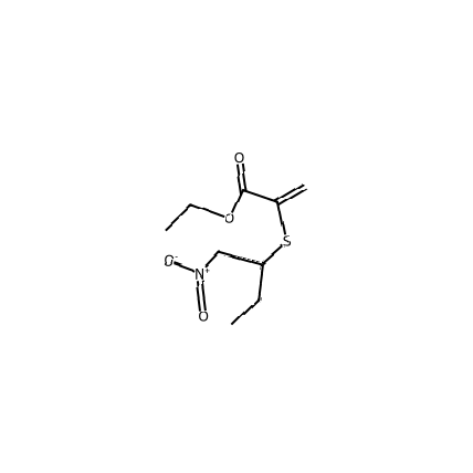 C=C(SC(CC)C[N+](=O)[O-])C(=O)OCC